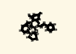 Cc1cc(C)c(-n2cc3cccc(N4CCCCC4)n3[c]2=[Pd-2]([Cl])[CH2]C=Cc2ccccc2)c(C)c1